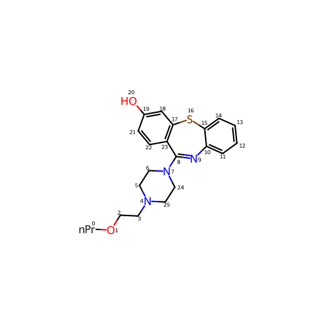 CCCOCCN1CCN(C2=Nc3ccccc3Sc3cc(O)ccc32)CC1